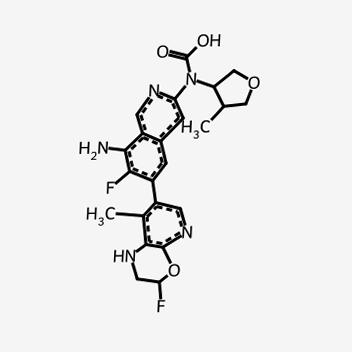 Cc1c(-c2cc3cc(N(C(=O)O)C4COCC4C)ncc3c(N)c2F)cnc2c1NCC(F)O2